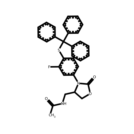 CC(=O)NCC1COC(=O)N1c1ccc(SC(c2ccccc2)(c2ccccc2)c2ccccc2)c(F)c1